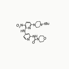 CC(C)(C)N1CCN(c2ccc([N+](=O)[O-])c(Nc3ccnc(NC(=O)N4CCOCC4)c3)n2)CC1